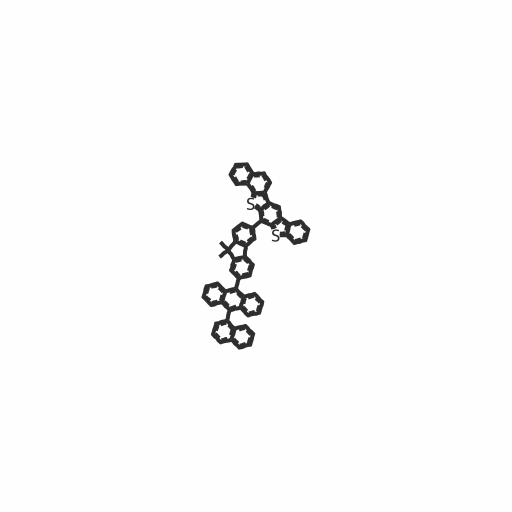 CC1(C)c2ccc(-c3c4sc5ccccc5c4cc4c3sc3c5ccccc5ccc43)cc2-c2ccc(-c3c4ccccc4c(-c4cccc5ccccc45)c4ccccc34)cc21